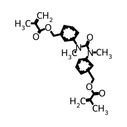 C=C(C)C(=O)OCc1cccc(N(C)C(=O)N(C)c2cccc(COC(=O)C(=C)C)c2)c1